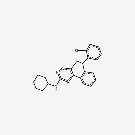 Clc1ccccc1C1Cc2cnc(NC3CCCCC3)nc2-c2ccccc21